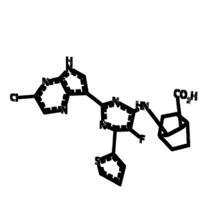 O=C(O)C1C2CCC(CC2)C1Nc1nc(-c2c[nH]c3nc(Cl)cnc23)nc(-c2cccs2)c1F